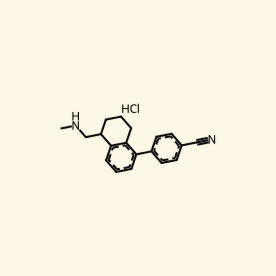 CNCC1CCCc2c(-c3ccc(C#N)cc3)cccc21.Cl